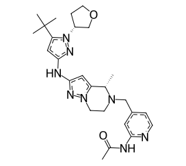 CC(=O)Nc1cc(CN2CCn3nc(Nc4cc(C(C)(C)C)n([C@@H]5CCOC5)n4)cc3[C@@H]2C)ccn1